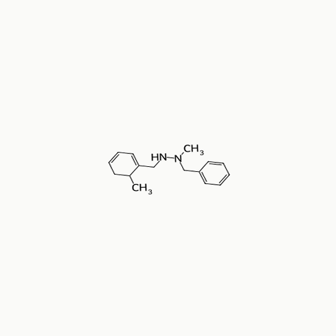 CC1CC=CC=C1CNN(C)Cc1ccccc1